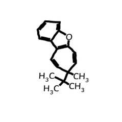 CC(C)(C)C1(C)C=Cc2oc3ccccc3c2C=C1